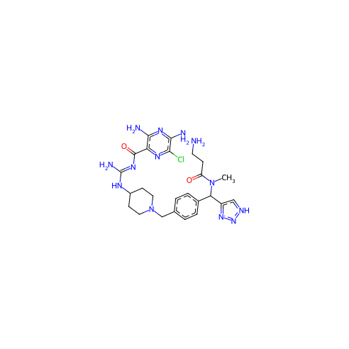 CN(C(=O)CCN)C(c1ccc(CN2CCC(NC(N)=NC(=O)c3nc(Cl)c(N)nc3N)CC2)cc1)c1c[nH]nn1